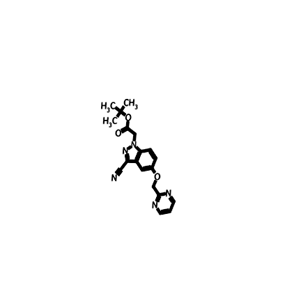 CC(C)(C)OC(=O)Cn1nc(C#N)c2cc(OCc3ncccn3)ccc21